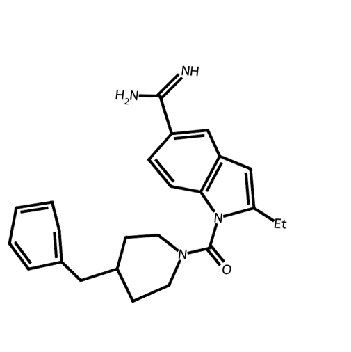 CCc1cc2cc(C(=N)N)ccc2n1C(=O)N1CCC(Cc2ccccc2)CC1